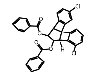 O=C(OC1C(OC(=O)c2ccccc2)[C@H]2c3c(Cl)cccc3[C@@]23c2cc(Cl)ccc2C13)c1ccccc1